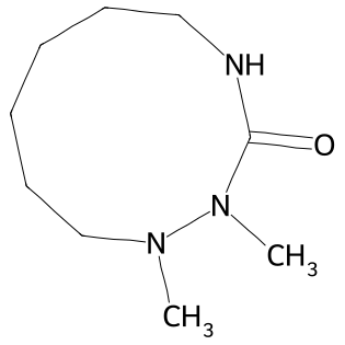 CN1CCCCCCNC(=O)N1C